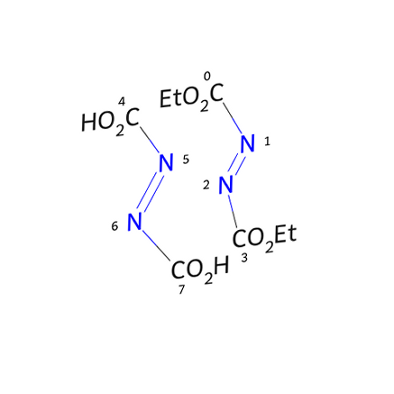 CCOC(=O)N=NC(=O)OCC.O=C(O)N=NC(=O)O